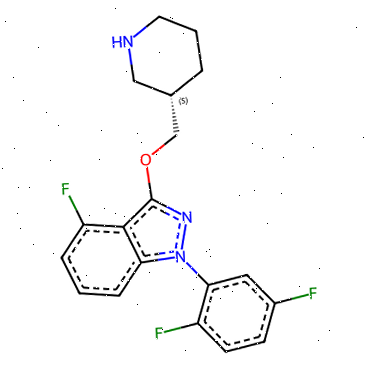 Fc1ccc(F)c(-n2nc(OC[C@H]3CCCNC3)c3c(F)cccc32)c1